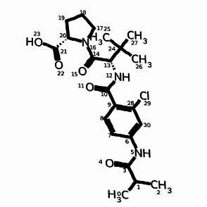 CC(C)C(=O)Nc1ccc(C(=O)N[C@H](C(=O)N2CCC[C@H]2C(=O)O)C(C)(C)C)c(Cl)c1